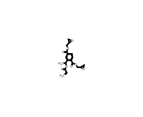 C=CC(=O)OC(C)c1cc(C(=O)OCC2CO2)ccc1C(=O)OCC1CO1